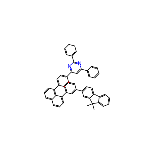 CC1(C)c2ccccc2-c2ccc(-c3cccc(-c4cccc5cccc(-c6ccc(-c7cc(-c8ccccc8)nc(C8=CCCC=C8)n7)cc6)c45)c3)cc21